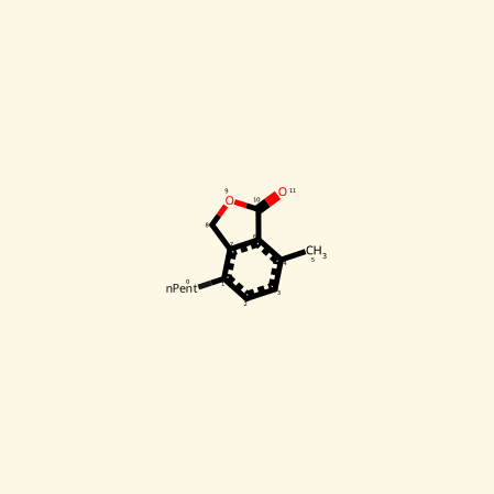 CCCCCc1ccc(C)c2c1COC2=O